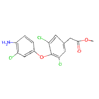 COC(=O)Cc1cc(Cl)c(Oc2ccc(N)c(Cl)c2)c(Cl)c1